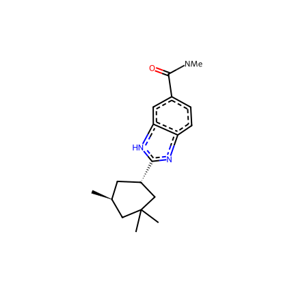 CNC(=O)c1ccc2nc([C@H]3C[C@H](C)CC(C)(C)C3)[nH]c2c1